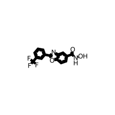 O=C(NO)c1ccc2oc(-c3cccc(C(F)(F)F)c3)nc2c1